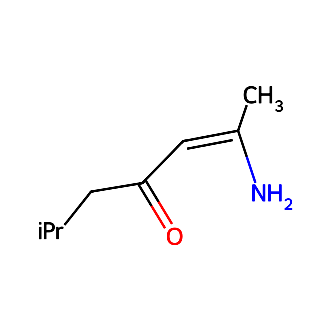 CC(N)=CC(=O)CC(C)C